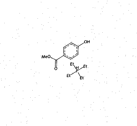 CC[PH](CC)(CC)CC.COC(=O)c1ccc(O)cc1